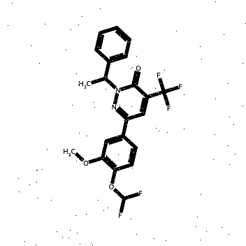 COc1cc(-c2cc(C(F)(F)F)c(=O)n(C(C)c3ccccc3)n2)ccc1OC(F)F